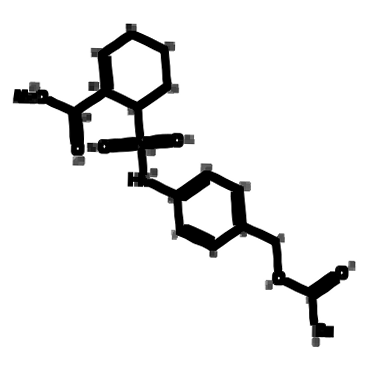 CCC(C)C(=O)OCc1ccc(NS(=O)(=O)C2CCCC=C2C(=O)OC)cc1